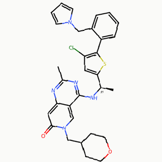 Cc1nc(N[C@H](C)c2cc(Cl)c(-c3ccccc3Cn3cccc3)s2)c2cn(CC3CCOCC3)c(=O)cc2n1